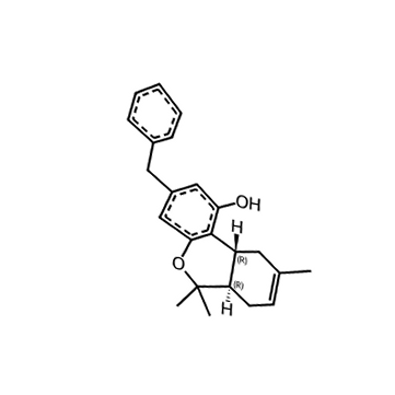 CC1=CC[C@@H]2[C@@H](C1)c1c(O)cc(Cc3ccccc3)cc1OC2(C)C